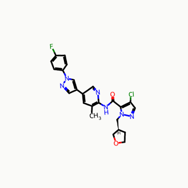 Cc1cc(-c2cnn(-c3ccc(F)cc3)c2)cnc1NC(=O)c1c(Cl)cnn1C[C@H]1CCOC1